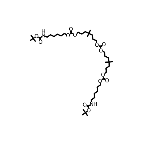 CC(C)(CCCOC(=O)OCCCCCCNC(=O)OC(C)(C)C)CCCOC(=O)OCCCC(C)(C)CCCOC(=O)OCCCCCCNC(=O)OC(C)(C)C